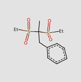 CCS(=O)(=O)C(C)(Cc1ccccc1)S(=O)(=O)CC